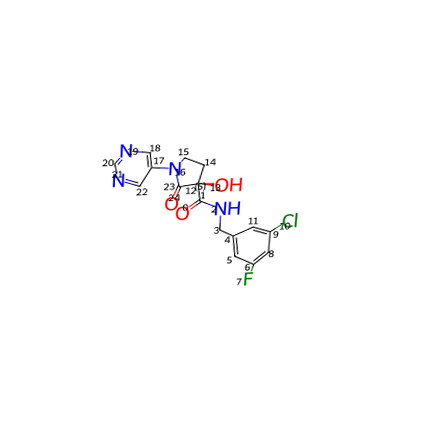 O=C(NCc1cc(F)cc(Cl)c1)[C@@]1(O)CCN(c2cncnc2)C1=O